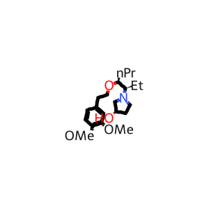 CCC[C@H](OCCc1ccc(OC)c(OC)c1)[C@H](CC)N1CC[C@@H](O)C1